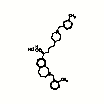 Cc1cccc(CN2CCC(CCCC(=O)c3ccc4c(c3)CN(Cc3ccccc3C)CCC4)CC2)c1.Cl.Cl